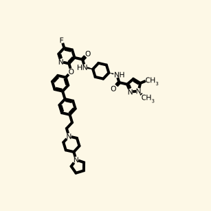 Cc1cc(C(=O)N[C@H]2CC[C@H](NC(=O)c3cc(F)cnc3Oc3cccc(-c4ccc(CCN5CCC(N6CCCC6)CC5)cc4)c3)CC2)nn1C